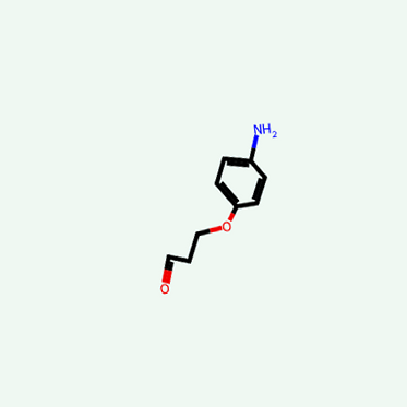 Nc1ccc(OCCC=O)cc1